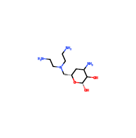 NCCN(CCN)C[C@@H]1CC(N)C(O)[C@H](O)O1